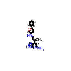 CC(CCN[C@@H]1CC[C@@H](c2ccccc2)OC1)c1cc(N)nc2[nH]nnc12